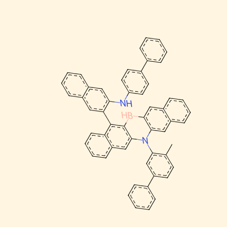 Cc1ccc(-c2ccccc2)cc1N1c2cc3ccccc3cc2Bc2c1cc1ccccc1c2-c1cc2ccccc2cc1Nc1ccc(-c2ccccc2)cc1